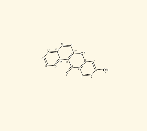 C=C1c2ccc(O)cc2Oc2ccc3ccccc3c21